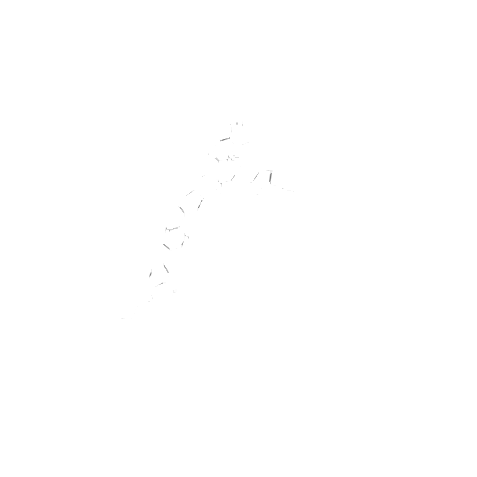 CCCCOc1ccc(-c2cnc(-c3ccc(C[C@H](NC(=O)Cc4ccc(C(C)(C)C)s4)C(=O)N[C@H](C)C(=O)O)cc3)nc2)cc1F